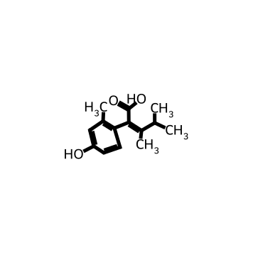 C/C(=C(/C(=O)O)c1ccc(O)cc1C)C(C)C